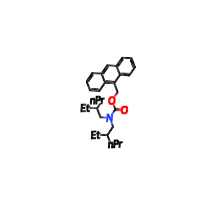 CCCC(CC)CN(CC(CC)CCC)C(=O)OCc1c2ccccc2cc2ccccc12